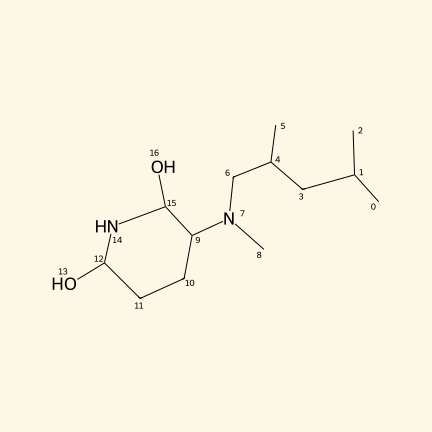 CC(C)CC(C)CN(C)C1CCC(O)NC1O